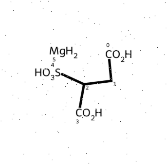 O=C(O)CC(C(=O)O)S(=O)(=O)O.[MgH2]